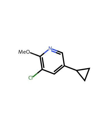 COc1ncc(C2CC2)cc1Cl